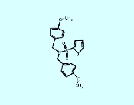 COc1ccc(CN(Cc2ccc(OC)cc2)S(=O)(=O)c2cccs2)cc1